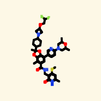 CSc1cc(C)[nH]c(=O)c1CNC(=O)c1cc(-c2ccc(N3CC(C)OC(C)C3)nc2)c2c(c1C)OC(C)(C1CCC(N3CC(OCC(F)F)C3)CC1)O2